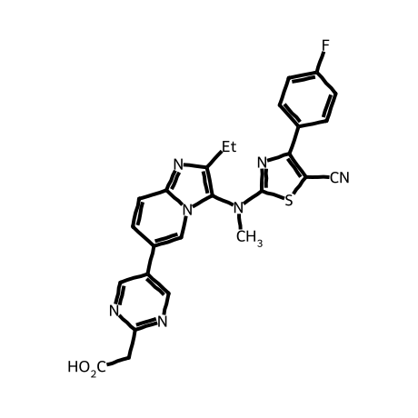 CCc1nc2ccc(-c3cnc(CC(=O)O)nc3)cn2c1N(C)c1nc(-c2ccc(F)cc2)c(C#N)s1